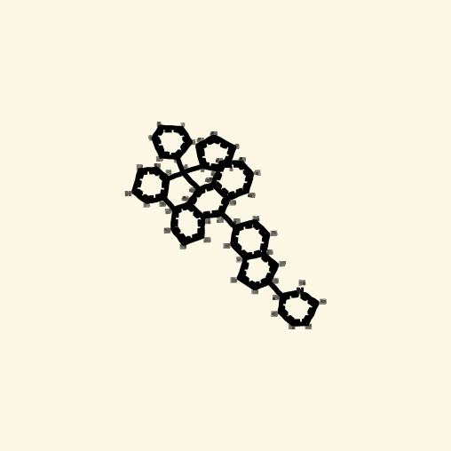 c1ccc(C2(c3ccccc3)c3ccccc3-c3cccc4c(-c5ccc6cc(-c7ccccn7)ccc6c5)c5ccccc5c2c34)cc1